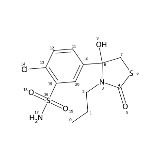 CCCN1C(=O)SCC1(O)c1ccc(Cl)c(S(N)(=O)=O)c1